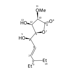 CCC(/C=C/[C@@H](O)[C@@H]1OC(=O)[C@H](OC)[C@@H]1O)CC